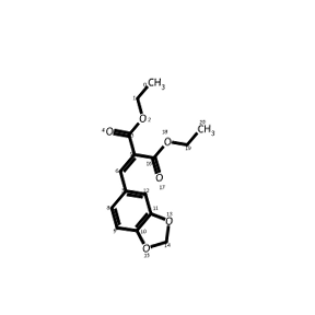 CCOC(=O)C(=Cc1ccc2c(c1)OCO2)C(=O)OCC